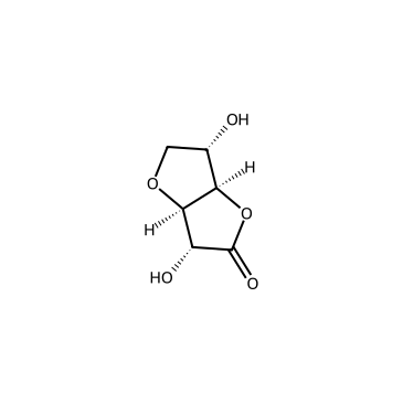 O=C1O[C@H]2[C@H](OC[C@@H]2O)[C@H]1O